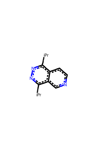 CC(C)c1nnc(C(C)C)c2cnccc12